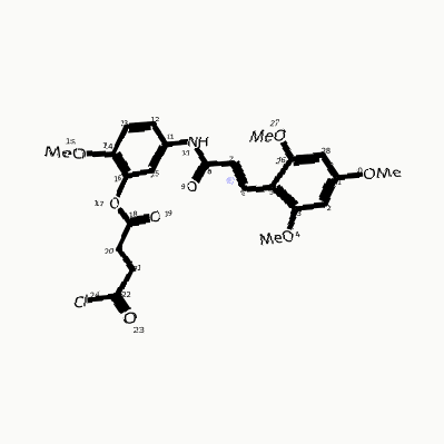 COc1cc(OC)c(/C=C/C(=O)Nc2ccc(OC)c(OC(=O)CCC(=O)Cl)c2)c(OC)c1